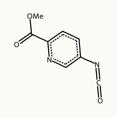 COC(=O)c1ccc(N=C=O)cn1